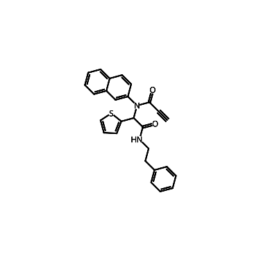 C#CC(=O)N(c1ccc2ccccc2c1)C(C(=O)NCCc1ccccc1)c1cccs1